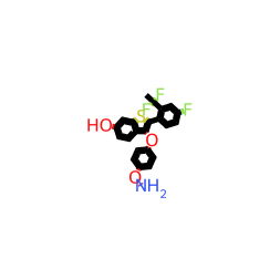 CC(F)(F)c1cc(F)ccc1-c1sc2cc(O)ccc2c1Oc1ccc(ON)cc1